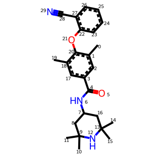 Cc1cc(C(=O)NC2CC(C)(C)NC(C)(C)C2)cc(C)c1Oc1ccccc1C#N